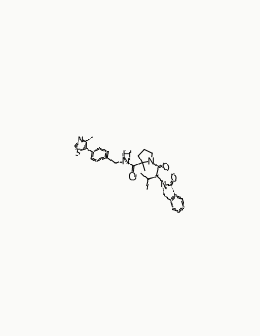 Cc1ncsc1-c1ccc(CNC(=O)C2(C)CCCN2C(=O)[C@H](C(C)C)N2Cc3ccccc3C2=O)cc1